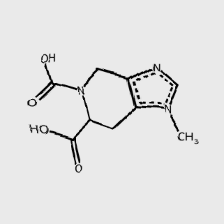 Cn1cnc2c1CC(C(=O)O)N(C(=O)O)C2